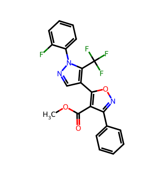 COC(=O)c1c(-c2ccccc2)noc1-c1cnn(-c2ccccc2F)c1C(F)(F)F